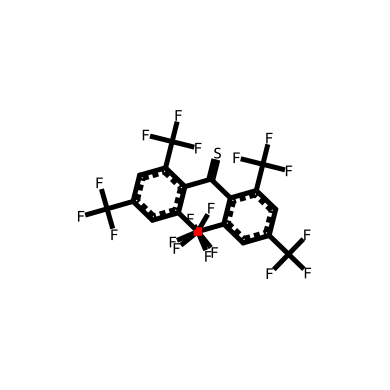 FC(F)(F)c1cc(C(F)(F)F)c(C(=S)c2c(C(F)(F)F)cc(C(F)(F)F)cc2C(F)(F)F)c(C(F)(F)F)c1